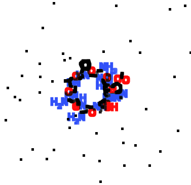 CC(=O)O[C@@H](Cc1c[nH]cn1)C(=O)N[C@H]1CCNC(=O)[C@H]([C@@H](C)O)NC(=O)[C@H](CCN)NC(=O)[C@H](CCN)NC(=O)[C@H](CC(C)C)NC(=O)[C@@H](Cc2ccccc2)NC(=O)[C@H](CCN)NC1=O